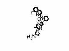 Cc1cn2nc([C@@H]3CCCCN3C(=O)c3ccc4cccc(F)c4n3)cc2nc1N1CC[C@H](N)C1